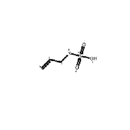 C=CC[N]S(=O)(=O)O